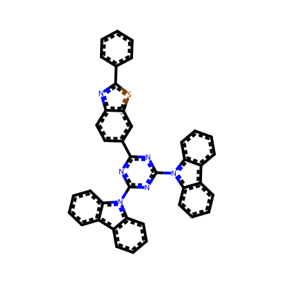 c1ccc(-c2nc3ccc(-c4nc(-n5c6ccccc6c6ccccc65)nc(-n5c6ccccc6c6ccccc65)n4)cc3s2)cc1